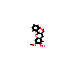 COc1ccc(CC2COc3ccccc3C2=O)cc1O